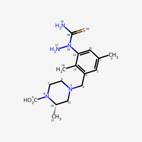 Cc1cc(CN2CCN(C(=O)O)[C@@H](C)C2)c(C)c(N(N)C(N)=S)c1